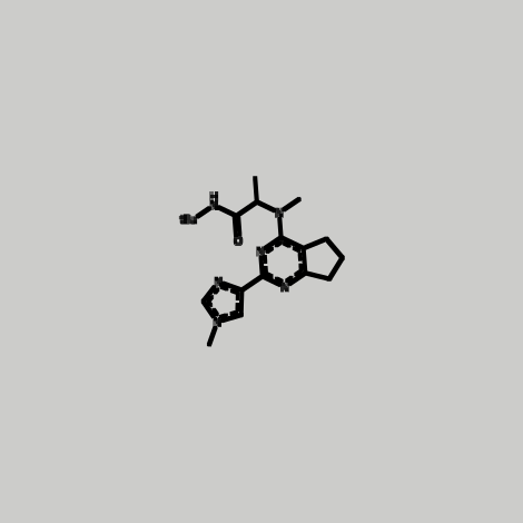 CC(C(=O)NC(C)(C)C)N(C)c1nc(-c2cn(C)cn2)nc2c1CCC2